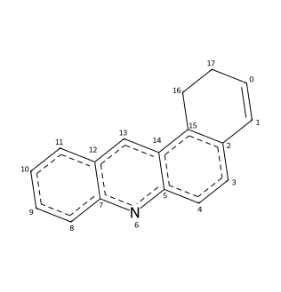 C1=Cc2ccc3nc4ccccc4cc3c2CC1